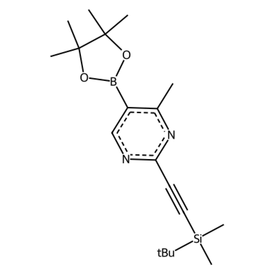 Cc1nc(C#C[Si](C)(C)C(C)(C)C)ncc1B1OC(C)(C)C(C)(C)O1